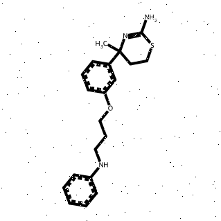 CC1(c2cccc(OCCCNc3ccccc3)c2)CCSC(N)=N1